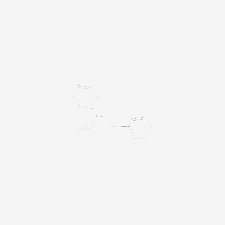 N=CC(OCc1ccccc1)c1cc[c]cc1